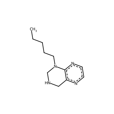 CCCCCN1CNCc2nccnc21